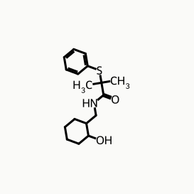 CC(C)(Sc1ccccc1)C(=O)NCC1CCCCC1O